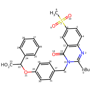 CCCCc1nc2ccc(S(C)(=O)=O)cc2c(=O)n1Cc1ccc(OC(C(=O)O)c2ccccc2)cc1